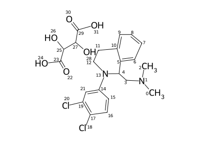 CN(C)CC1c2ccccc2CCN1c1ccc(Cl)c(Cl)c1.O=C(O)C(O)C(O)C(=O)O